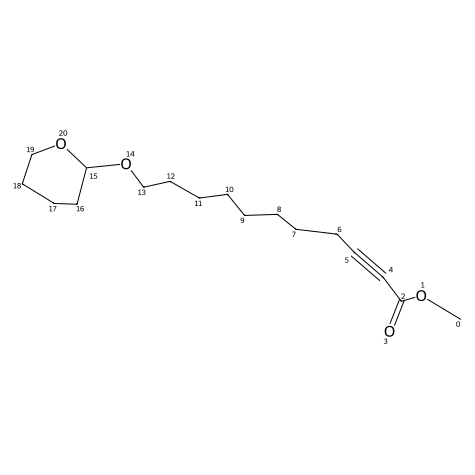 COC(=O)C#CCCCCCCCCOC1CCCCO1